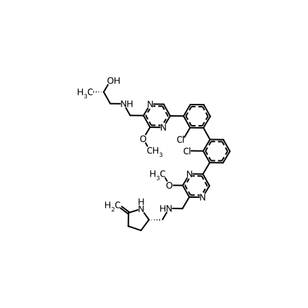 C=C1CC[C@@H](CNCc2ncc(-c3cccc(-c4cccc(-c5cnc(CNC[C@H](C)O)c(OC)n5)c4Cl)c3Cl)nc2OC)N1